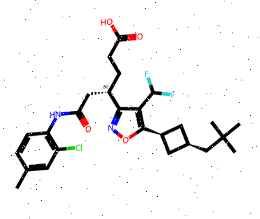 Cc1ccc(NC(=O)C[C@H](CCC(=O)O)c2noc([C@H]3C[C@@H](CC(C)(C)C)C3)c2C(F)F)c(Cl)c1